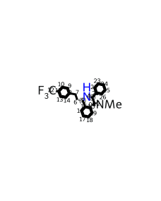 C=C(NC)[C@H](N[C@@H](CCc1ccc(C(F)(F)F)cc1)c1ccccc1)c1ccccc1